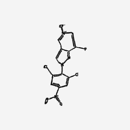 O=[N+]([O-])c1cc(Cl)c(-n2cc3c[n+]([O-])cc(F)c3n2)c(Cl)c1